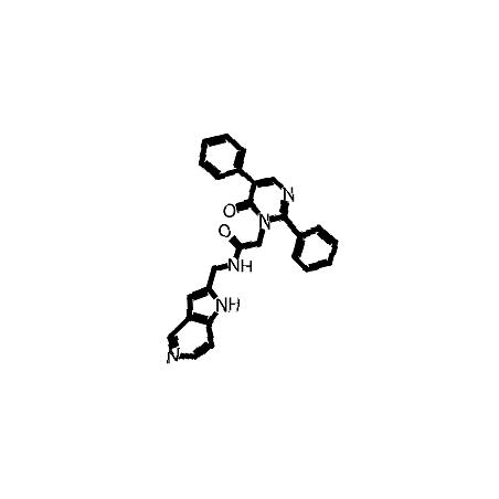 O=C(Cn1c(-c2ccccc2)ncc(-c2ccccc2)c1=O)NCc1cc2cnccc2[nH]1